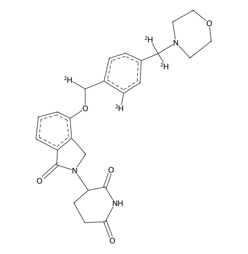 [2H]c1cc(C([2H])([2H])N2CCOCC2)ccc1C([2H])Oc1cccc2c1CN(C1CCC(=O)NC1=O)C2=O